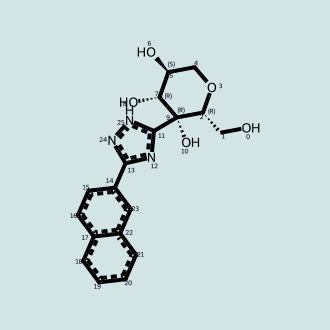 OC[C@H]1OC[C@H](O)[C@@H](O)[C@]1(O)c1nc(-c2ccc3ccccc3c2)n[nH]1